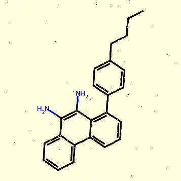 CCCCc1ccc(-c2cccc3c2c(N)c(N)c2ccccc23)cc1